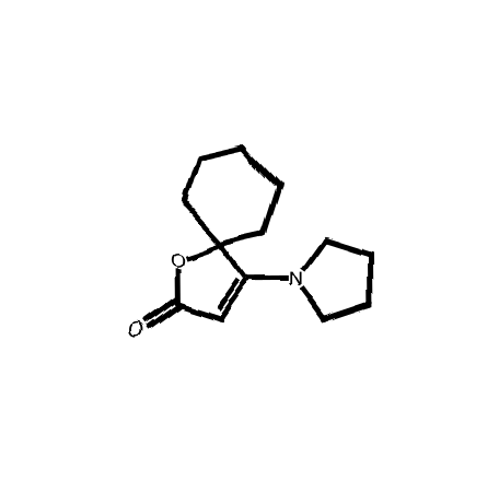 O=C1C=C(N2CCCC2)C2(CCCCC2)O1